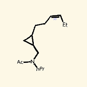 CC/C=C\CCC1CC1CN(CCC)C(C)=O